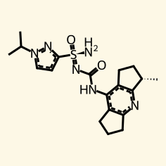 CC(C)n1ccc([S@](N)(=O)=NC(=O)Nc2c3c(nc4c2CC[C@@H]4C)CCC3)n1